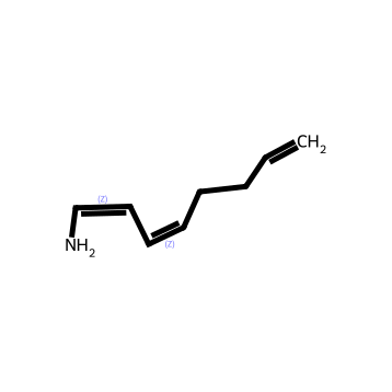 C=CCC/C=C\C=C/N